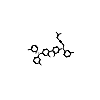 CC(C)=CC#CCN(c1cccc(C)c1)c1ccc(-c2ccc(N(c3cccc(C)c3)[C@H]3C=CC=C(C)C3)cc2C)c(C)c1